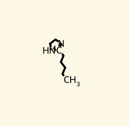 CCCCC[14C]1=NCCN1